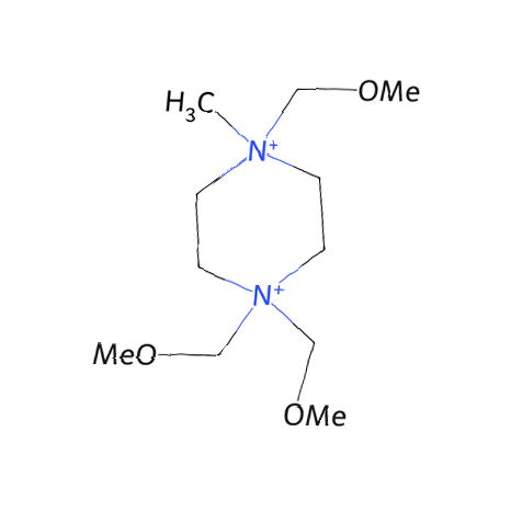 COC[N+]1(C)CC[N+](COC)(COC)CC1